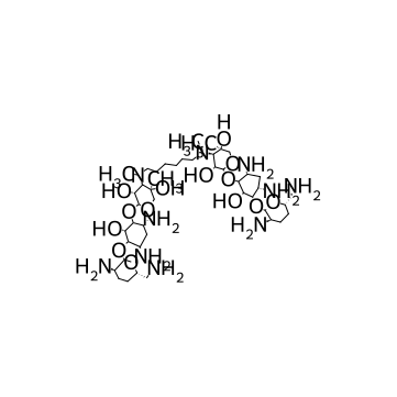 CN(CCCCCCN(C)[C@@H]1[C@@H](O)C(OC2[C@@H](O)C(OC3O[C@H](CN)CC[C@H]3N)[C@@H](N)C[C@H]2N)OC[C@]1(C)O)[C@@H]1[C@@H](O)C(OC2[C@@H](O)C(OC3O[C@H](CN)CC[C@H]3N)[C@@H](N)C[C@H]2N)OC[C@]1(C)O